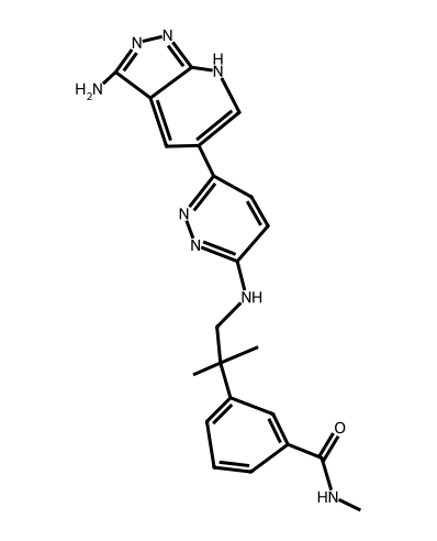 CNC(=O)c1cccc(C(C)(C)CNc2ccc(-c3c[nH]c4nnc(N)c-4c3)nn2)c1